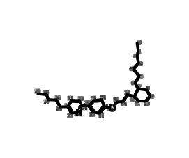 CCCCCCCC1CCCCC1CCCOc1ccc(-c2ccc(CCCCC)cn2)cc1